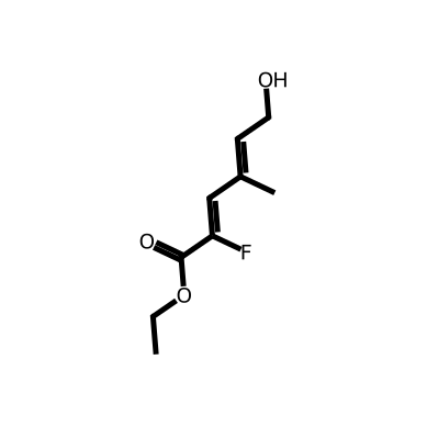 CCOC(=O)/C(F)=C/C(C)=C/CO